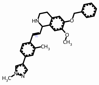 COc1cc2c(cc1OCc1ccccc1)CCNC2/C=C/c1ccc(-c2cnn(C)c2)cc1C